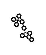 c1ccc(C2(c3ccccc3)c3ccccc3-c3ccc(-c4ccc(Nc5ccccc5-c5cc6ccccc6c6ccccc56)cc4)cc32)cc1